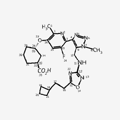 Cc1nc(-c2nnn(C)c2CNc2noc(CCC3CCC3)n2)c(F)cc1O[C@H]1CCC[C@H](C(=O)O)C1